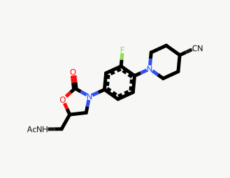 CC(=O)NCC1CN(c2ccc(N3CCC(C#N)CC3)c(F)c2)C(=O)O1